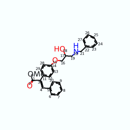 COC(=O)C(=Cc1ccccc1)c1ccc(OCC(O)CNCc2ccccc2)cc1